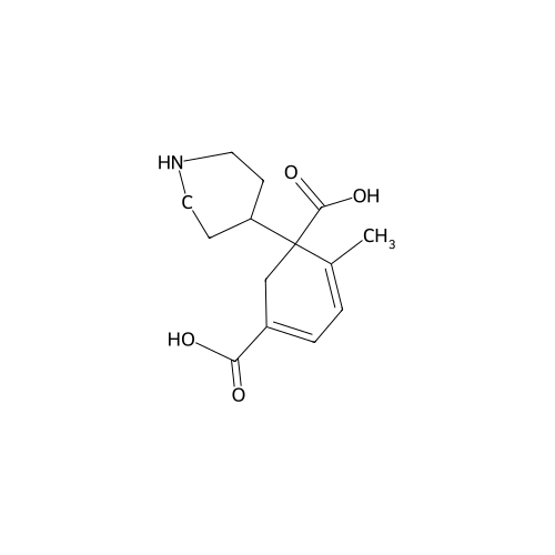 CC1=CC=C(C(=O)O)CC1(C(=O)O)C1CCNCC1